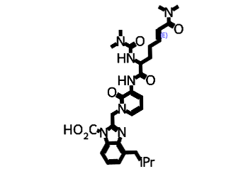 CC(C)Cc1cccc2c1nc(Cn1cccc(NC(=O)C(CC/C=C/C(=O)N(C)C)NC(=O)N(C)C)c1=O)n2C(=O)O